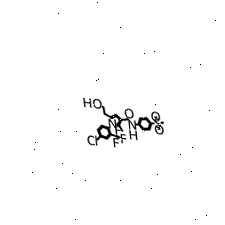 Cc1c(C(=O)Nc2ccc(S(C)(=O)=O)cc2)cc(CCO)n1-c1ccc(Cl)cc1C(F)(F)F